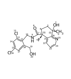 C[C@]1(O)CC[C@@](F)(C(=O)NCc2c(Cl)cc(Cl)cc2CO)c2cccnc21